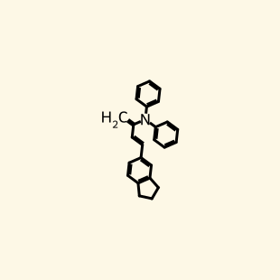 C=C(/C=C/c1ccc2c(c1)CCC2)N(c1ccccc1)c1ccccc1